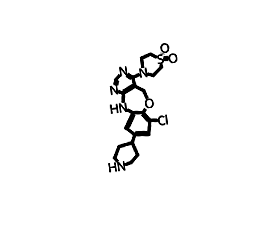 O=S1(=O)CCN(c2ncnc3c2COc2c(Cl)cc(C4CCNCC4)cc2N3)CC1